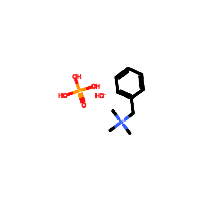 C[N+](C)(C)Cc1ccccc1.O=P(O)(O)O.[OH-]